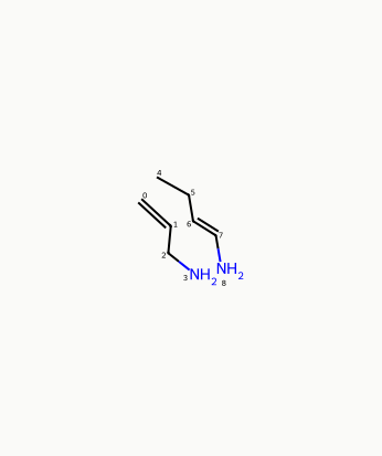 C=CCN.CCC=CN